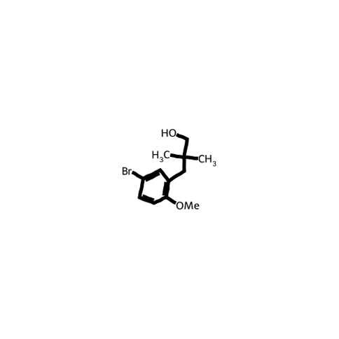 COc1ccc(Br)cc1CC(C)(C)CO